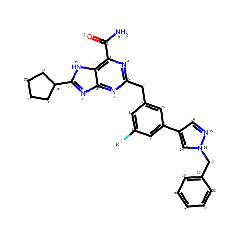 NC(=O)c1nc(Cc2cc(F)cc(-c3cnn(Cc4ccccc4)c3)c2)nc2nc(C3CCCC3)[nH]c12